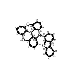 c1cc2c3c(c1)Oc1cccc4c1B3c1c(cccc1N4c1cccc3c1oc1ccccc13)O2